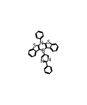 c1ccc(-c2ncc(B3c4c(sc5ccccc45)N(c4ccccc4)c4sc5ccccc5c43)cn2)cc1